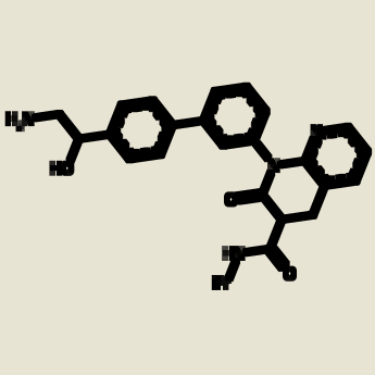 CC(C)NC(=O)C1Cc2cccnc2N(c2cccc(-c3ccc(C(O)CN)cc3)c2)C1=O